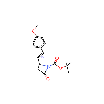 COc1ccc(/C=C/C2CC(=O)N2C(=O)OC(C)(C)C)cc1